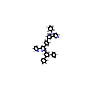 c1ccc(-c2cc(-c3ccccc3)cc(-c3cc(-c4ccc(-c5ccc6c(c5)c5cnccc5n6-c5ccccc5)cc4)cc(-c4ccccn4)n3)c2)cc1